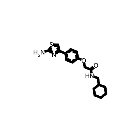 Nc1nc(-c2ccc(OCC(=O)NCC3CCCCC3)cc2)cs1